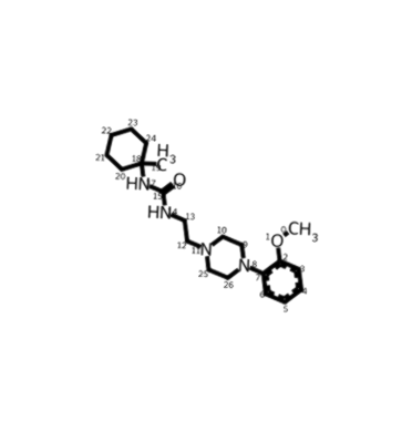 COc1ccccc1N1CCN(CCNC(=O)NC2(C)CCCCC2)CC1